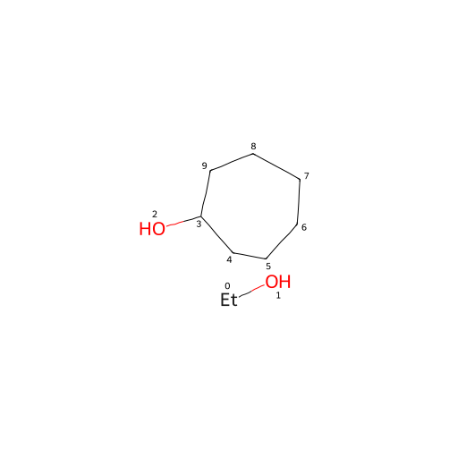 CCO.OC1CCCCCC1